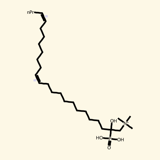 CCC/C=C\CCCCCC/C=C\CCCCCCCCCCC(O)(C[N+](C)(C)C)P(=O)(O)O